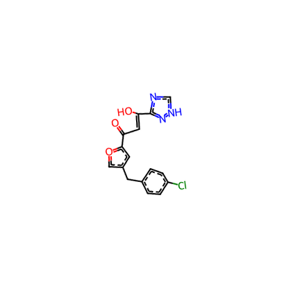 O=C(C=C(O)c1nc[nH]n1)c1cc(Cc2ccc(Cl)cc2)co1